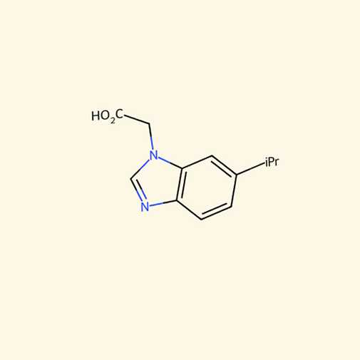 CC(C)c1ccc2ncn(CC(=O)O)c2c1